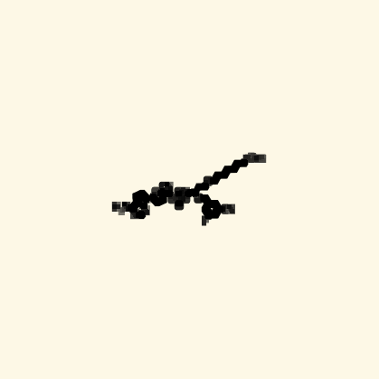 CCCCCCCCCCCCCCCCCOCC[C@H](COP(=O)(O)OC[C@]1(C#N)CC[C@H](c2ccc3c(N)ncnn23)O1)OCc1cc(F)cc(C#N)c1